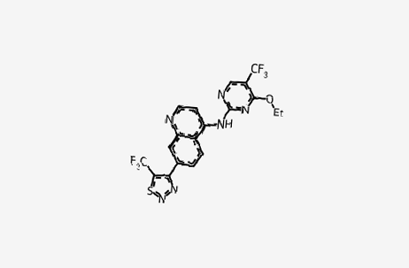 CCOc1nc(Nc2ccnc3cc(-c4nnsc4C(F)(F)F)ccc23)ncc1C(F)(F)F